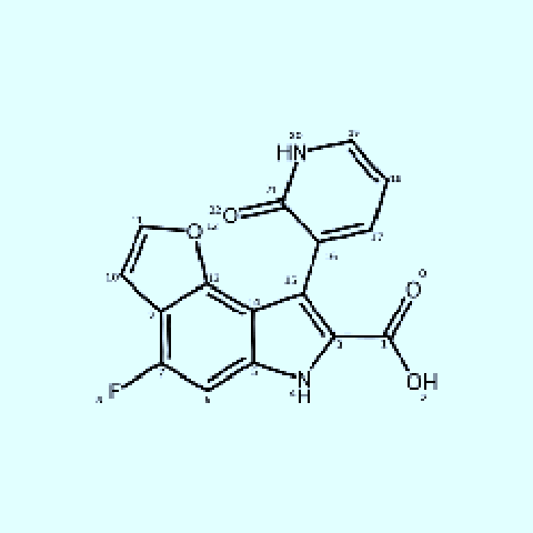 O=C(O)c1[nH]c2cc(F)c3ccoc3c2c1-c1ccc[nH]c1=O